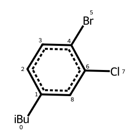 CCC(C)c1ccc(Br)c(Cl)c1